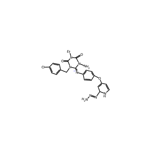 CCn1c(=O)n(N)/c(=N\c2ccc(OC3=CC(N=NN)NC=C3)cc2)n(Cc2ccc(Cl)cc2)c1=O